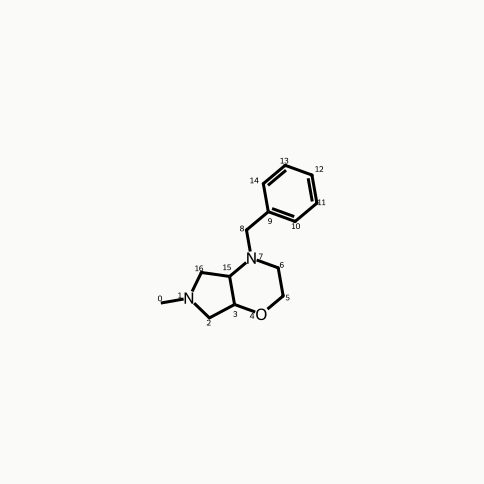 CN1CC2OCCN(Cc3ccccc3)C2C1